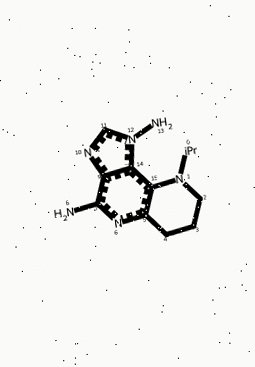 CC(C)N1CCCc2nc(N)c3ncn(N)c3c21